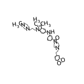 Cc1c(C)n(CCCN2CCN(C)CC2)c2ccc(Nc3cccc(C(=O)N4CCN(CCc5ccc6c(c5)OCO6)CC4)c3)cc12